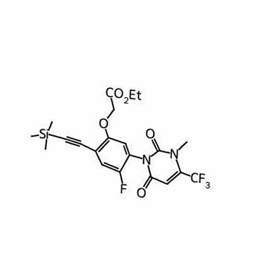 CCOC(=O)COc1cc(-n2c(=O)cc(C(F)(F)F)n(C)c2=O)c(F)cc1C#C[Si](C)(C)C